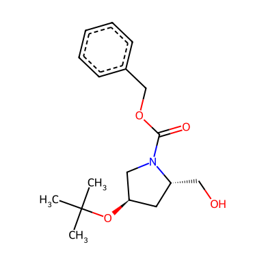 CC(C)(C)O[C@@H]1C[C@@H](CO)N(C(=O)OCc2ccccc2)C1